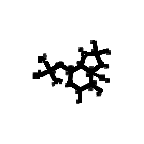 CC1O[C@@H](O[Si](C(C)C)(C(C)C)C(C)C)C2OC(C)(C)O[C@H]2[C@H]1C